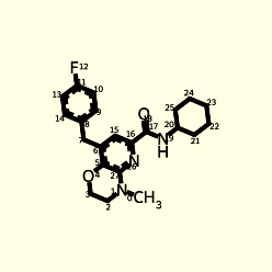 CN1CCOc2c(Cc3ccc(F)cc3)cc(C(=O)NC3CCCCC3)nc21